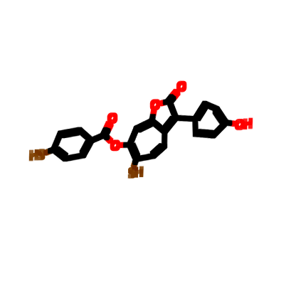 O=C(Oc1cc2oc(=O)c(-c3ccc(O)cc3)c-2ccc1S)c1ccc(S)cc1